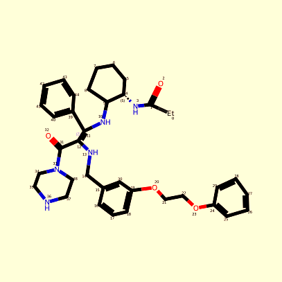 CCC(=O)N[C@H]1CCCCC1N/C(=C(\NCc1cccc(OCCOc2ccccc2)c1)C(=O)N1CCNCC1)c1ccccc1